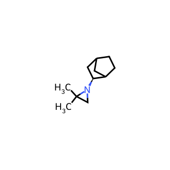 CC1(C)CN1[C@H]1CC2CCC1C2